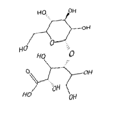 O=C(O)[C@@H](O)C(O)[C@H](O[C@@H]1OC(CO)[C@H](O)[C@@H](O)C1O)C(O)CO